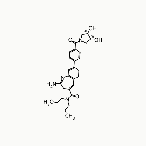 CCCN(CCC)C(=O)C1=Cc2ccc(-c3ccc(C(=O)N4C[C@@H](O)[C@H](O)C4)cc3)cc2N=C(N)C1